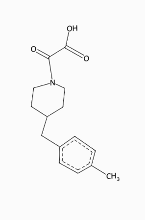 Cc1ccc(CC2CCN(C(=O)C(=O)O)CC2)cc1